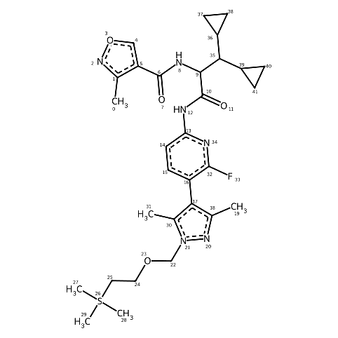 Cc1nocc1C(=O)NC(C(=O)Nc1ccc(-c2c(C)nn(COCCS(C)(C)C)c2C)c(F)n1)C(C1CC1)C1CC1